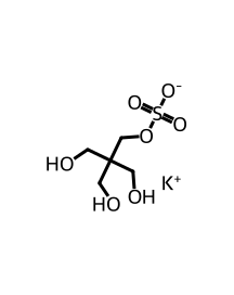 O=S(=O)([O-])OCC(CO)(CO)CO.[K+]